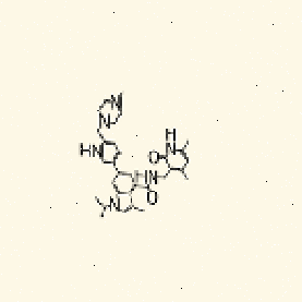 Cc1cc(C)c(CNC(=O)c2cc(C3=CC=C(CN4CCN(C)CC4)NC3)cc3c2c(C)cn3C(C)C)c(=O)[nH]1